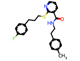 Cc1ccc(CCNC(=O)c2cccnc2SCCCc2ccc(F)cc2)cc1